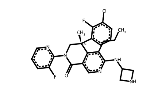 CCCc1c(NC2CNC2)ncc2c1[C@@](C)(c1cccc(Cl)c1F)CN(c1ncccc1F)C2=O